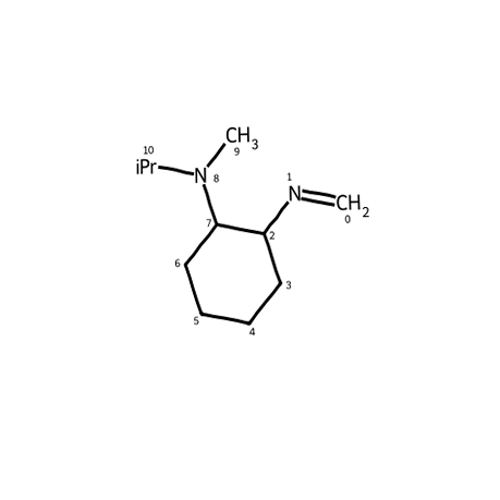 C=NC1CCCCC1N(C)C(C)C